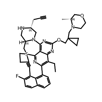 C#CC[C@@H]1CN2c3nc(OCC4(CN5CCOC[C@H]5C)CC4)nc4c(CC)c(-c5cccc6ccc(F)c(C#C)c56)nc(c34)S3(CCC3)C[C@@H]2CN1